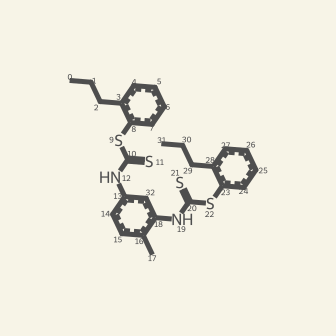 CCCc1ccccc1SC(=S)Nc1ccc(C)c(NC(=S)Sc2ccccc2CCC)c1